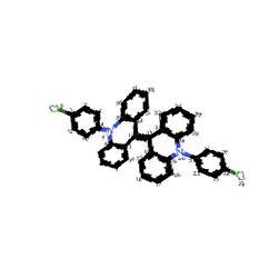 Clc1ccc(N2c3ccccc3C(=C3c4ccccc4N(c4ccc(Cl)cc4)c4ccccc43)c3ccccc32)cc1